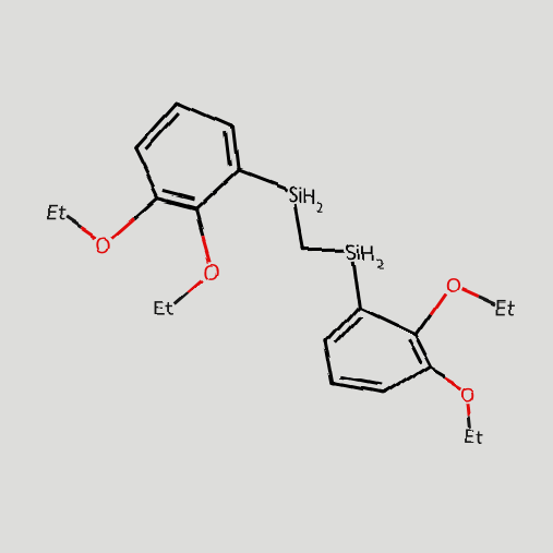 CCOc1cccc([SiH2]C[SiH2]c2cccc(OCC)c2OCC)c1OCC